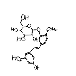 COc1ccc(C=Cc2cc(O)cc(O)c2)cc1OC1O[C@H](CO)[C@@H](O)[C@H](O)[C@H]1O